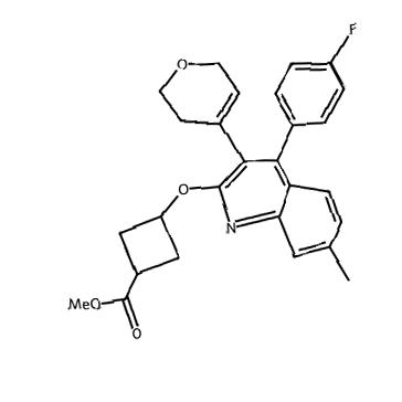 COC(=O)C1CC(Oc2nc3cc(C)ccc3c(-c3ccc(F)cc3)c2C2=CCOCC2)C1